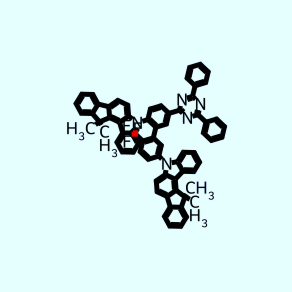 CC1(C)c2ccccc2-c2ccc3c(c21)c1ccccc1n3-c1ccc(C(F)(F)F)c(-c2cc(-c3nc(-c4ccccc4)nc(-c4ccccc4)n3)ccc2-n2c3ccccc3c3c4c(ccc32)-c2ccccc2C4(C)C)c1